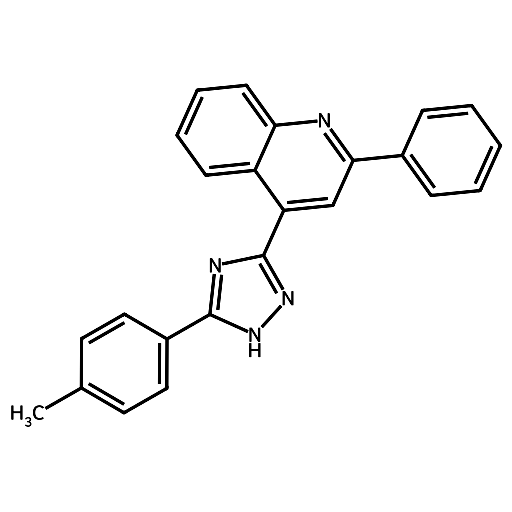 Cc1ccc(-c2nc(-c3cc(-c4ccccc4)nc4ccccc34)n[nH]2)cc1